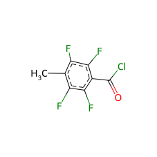 Cc1c(F)c(F)c(C(=O)Cl)c(F)c1F